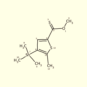 COC(=S)c1c[c]([Sn]([CH3])([CH3])[CH3])c(C)s1